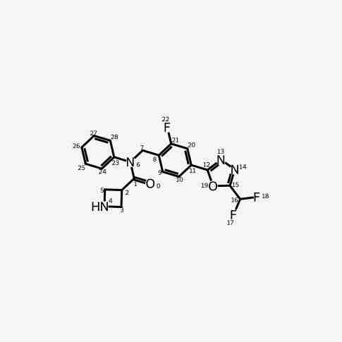 O=C(C1CNC1)N(Cc1ccc(-c2nnc(C(F)F)o2)cc1F)c1ccccc1